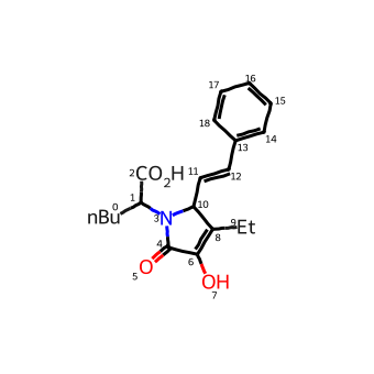 CCCCC(C(=O)O)N1C(=O)C(O)=C(CC)C1C=Cc1ccccc1